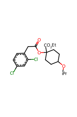 CCOC(=O)C1(OC(=O)Cc2ccc(Cl)cc2Cl)CCC(OC(C)C)CC1